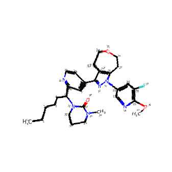 CCCCCC(c1cc(-c2nn(-c3cnc(OC)c(F)c3)c3c2CCOCC3)ccn1)N1CCCN(C)C1=O